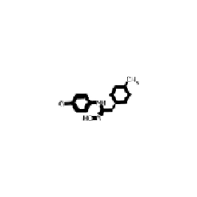 C[C@H]1CC[C@@H](C/C(=N/O)Nc2ccc(Cl)cc2)CC1